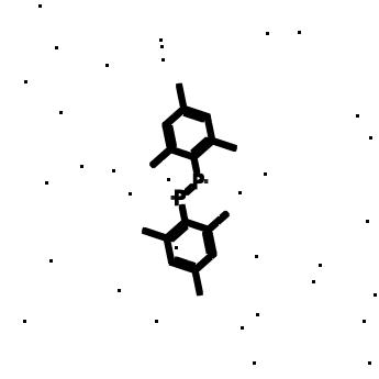 Cc1cc(C)c([P][P]c2c(C)cc(C)cc2C)c(C)c1